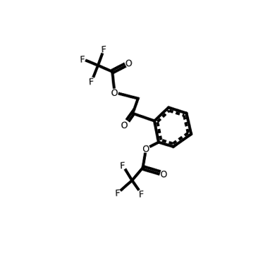 O=C(COC(=O)C(F)(F)F)c1ccccc1OC(=O)C(F)(F)F